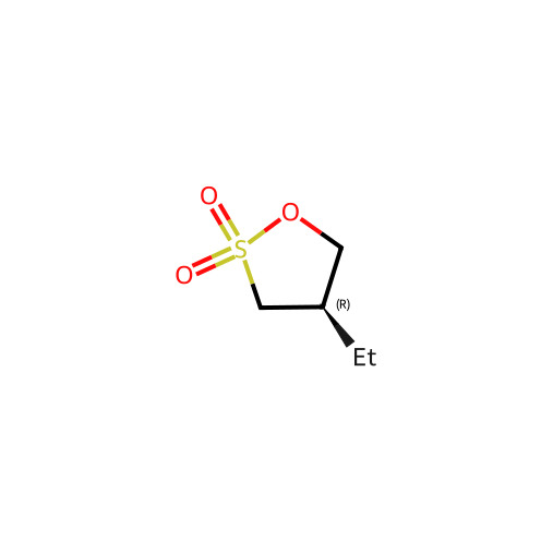 CC[C@@H]1COS(=O)(=O)C1